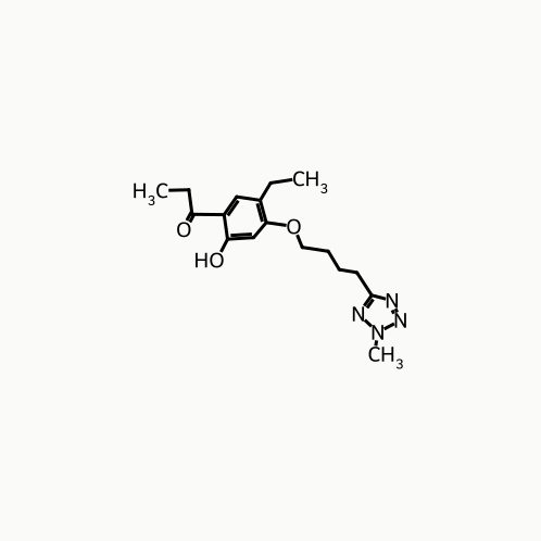 CCC(=O)c1cc(CC)c(OCCCCc2nnn(C)n2)cc1O